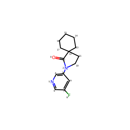 O=C1N(c2cncc(F)c2)CCC12C[CH]CCC2